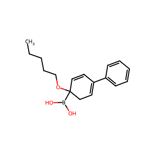 CCCCCOC1(B(O)O)C=CC(c2ccccc2)=CC1